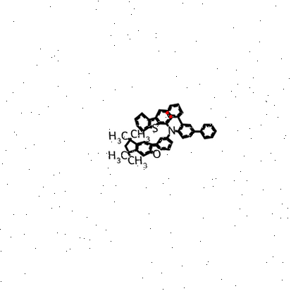 CC1(C)CC(C)(C)c2cc3c(cc21)oc1ccc(N(c2ccc(-c4ccccc4)cc2-c2ccccc2)c2cccc4c2sc2ccccc24)cc13